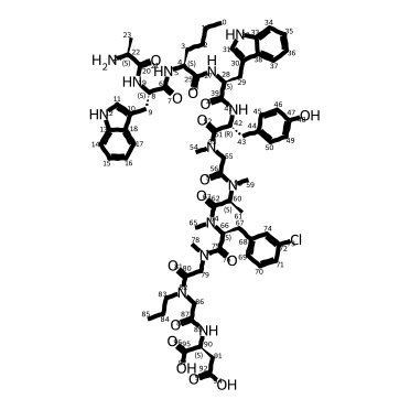 CCCC[C@H](NC(=O)[C@H](Cc1c[nH]c2ccccc12)NC(=O)[C@H](C)N)C(=O)N[C@@H](Cc1c[nH]c2ccccc12)C(=O)N[C@H](Cc1ccc(O)cc1)C(=O)N(C)CC(=O)N(C)[C@@H](C)C(=O)N(C)[C@@H](Cc1cccc(Cl)c1)C(=O)N(C)CC(=O)N(CCC)CC(=O)N[C@@H](CC(=O)O)C(=O)O